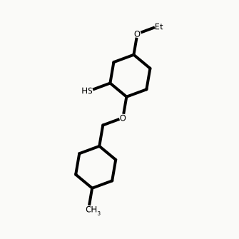 CCOC1CCC(OCC2CCC(C)CC2)C(S)C1